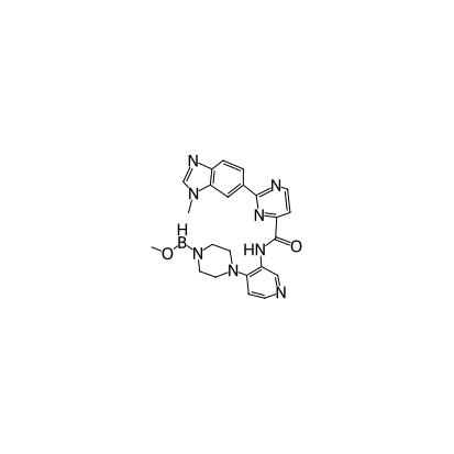 COBN1CCN(c2ccncc2NC(=O)c2ccnc(-c3ccc4ncn(C)c4c3)n2)CC1